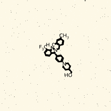 Cc1ccc(Cn2nc3c(C(F)(F)F)cccc3c2-c2ccc(N3CCC(CO)CC3)cc2)c(C)c1